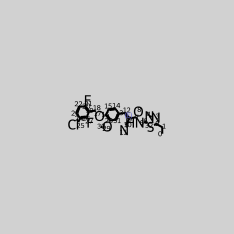 CCc1nnc(NC(=O)/C(C#N)=C/c2ccc(OCc3c(F)ccc(Cl)c3F)c(OC)c2)s1